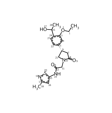 CCOc1cc([C@@H]2CC(=O)N(CC(=O)Nc3cc(C)ns3)C2)ccc1C(C)O